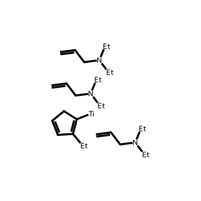 C=CCN(CC)CC.C=CCN(CC)CC.C=CCN(CC)CC.CCC1=[C]([Ti])CC=C1